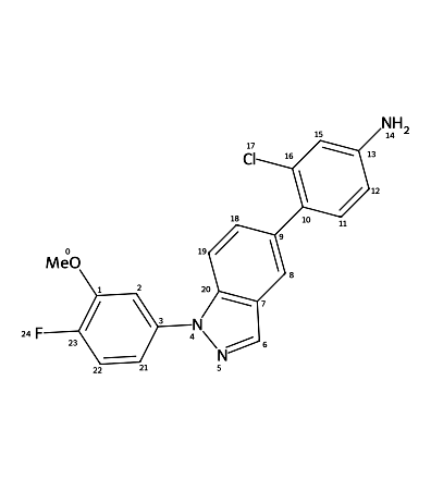 COc1cc(-n2ncc3cc(-c4ccc(N)cc4Cl)ccc32)ccc1F